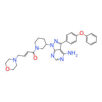 Nc1ncnc2c1c(-c1ccc(Oc3ccccc3)cc1)nn2C1CCCN(C(=O)C=CCN2CCOCC2)C1